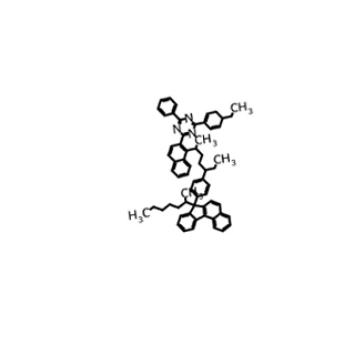 CCCCCC(C)C1(c2ccc(C(CC)CCC(C)c3c(-c4nc(C5=CCC(CC)C=C5)nc(-c5ccccc5)n4)ccc4ccccc34)cc2)c2ccccc2-c2c1ccc1ccccc21